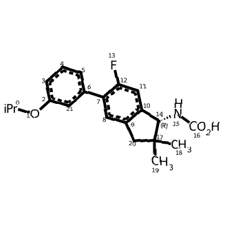 CC(C)Oc1cccc(-c2cc3c(cc2F)[C@H](NC(=O)O)C(C)(C)C3)c1